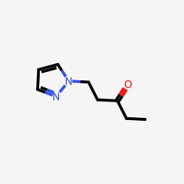 CCC(=O)CCn1cccn1